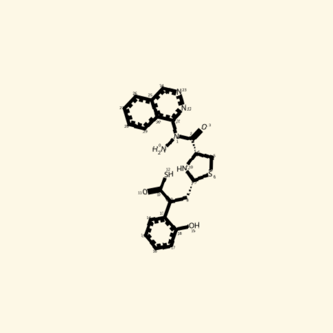 NN(C(=O)[C@@H]1CS[C@H](CC(C(=O)S)c2ccccc2O)N1)c1nncc2ccccc12